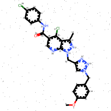 COc1ccc(Cn2cc(Cn3nc(C)c4c(Cl)c(C(=O)Nc5ccc(Cl)cc5)cnc43)nn2)cc1